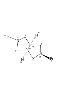 CC(C)[C@@H]1C[C@@H]2CN(I)C[C@@H]2C1